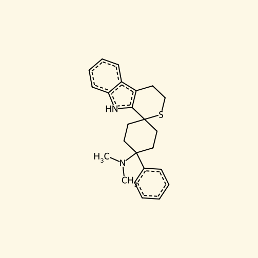 CN(C)C1(c2ccccc2)CCC2(CC1)SCCc1c2[nH]c2ccccc12